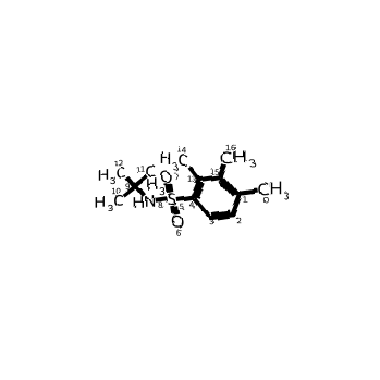 Cc1ccc(S(=O)(=O)NC(C)(C)C)c(C)c1C